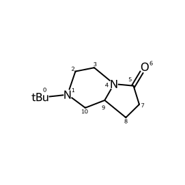 CC(C)(C)N1CCN2C(=O)CCC2C1